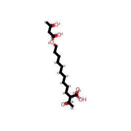 CC(=O)CC(=O)OCCCCCCCCCCC(C(C)=O)C(=O)O